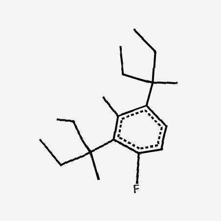 CCC(C)(CC)c1ccc(F)c(C(C)(CC)CC)c1C